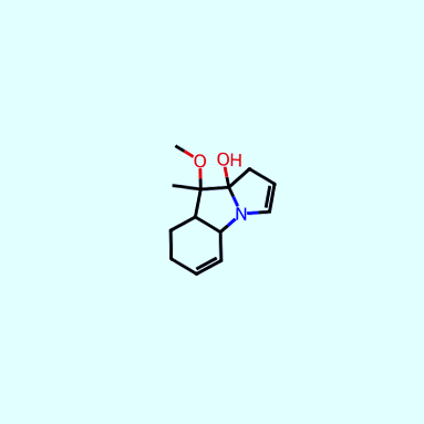 COC1(C)C2CCC=CC2N2C=CCC21O